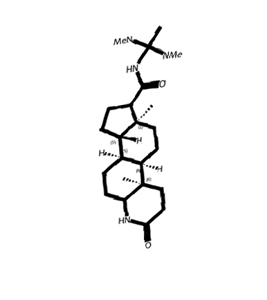 CNC(C)(NC)NC(=O)C1CC[C@H]2[C@@H]3CCC4NC(=O)CC[C@]4(C)[C@@H]3CC[C@]12C